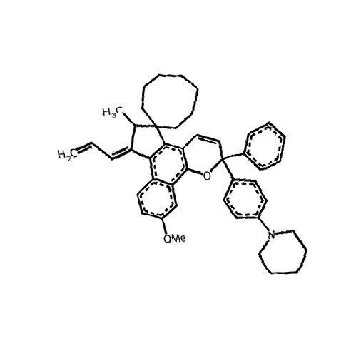 C=C/C=C1/c2c(c3c(c4cc(OC)ccc24)OC(c2ccccc2)(c2ccc(N4CCCCC4)cc2)C=C3)C2(CCCCCCC2)C1C